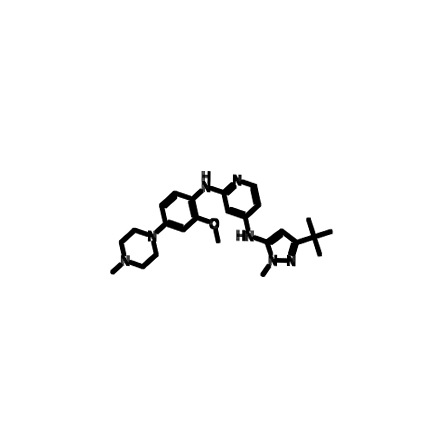 COc1cc(N2CCN(C)CC2)ccc1Nc1cc(Nc2cc(C(C)(C)C)nn2C)ccn1